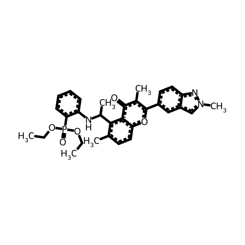 CCOP(=O)(OCC)c1ccccc1NC(C)c1c(C)ccc2oc(-c3ccc4nn(C)cc4c3)c(C)c(=O)c12